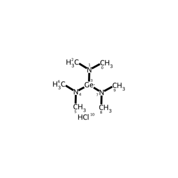 C[N](C)[Ge]([N](C)C)[N](C)C.Cl